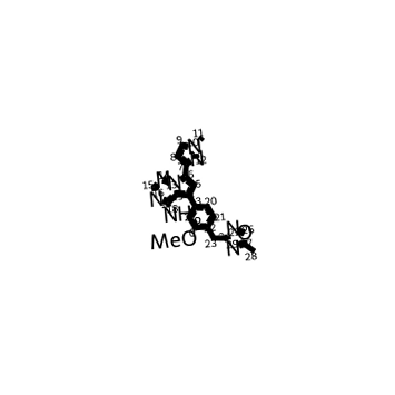 COc1cc(-c2cc(-c3ccn(C)n3)n3ncnc(N)c23)ccc1Cc1noc(C)n1